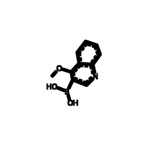 COc1c(B(O)O)cnc2ccccc12